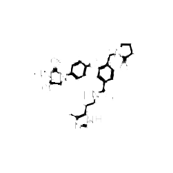 Cc1nc[nH]c1CCNC(=O)c1ccc(CN2CCCC2=O)c(Oc2ccc(N3CC(=O)NC3=O)cc2)c1